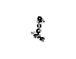 CN(C)[C@@](C)(C(=O)N1CCN(c2ccc(-c3nc(-c4cnn(C)c4)cn4ncc(C#N)c34)cn2)CC1)c1ccccc1